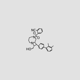 Cc1cccc(-c2ccc(C3C4CN(S(=O)(=O)c5ccccc5C#N)CCCCN4[C@@H]3CO)cc2)c1C